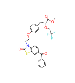 COC(=O)C(Cc1ccc(OCCn2c(=O)sc3cc(C(=O)c4ccccc4)ccc32)cc1)OCC(F)(F)F